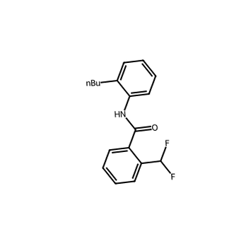 CCCCc1ccccc1NC(=O)c1ccccc1C(F)F